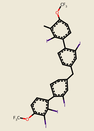 Cc1c(OC(F)(F)F)ccc(-c2ccc(Cc3ccc(-c4ccc(OC(F)(F)F)c(I)c4I)c(I)c3)cc2I)c1I